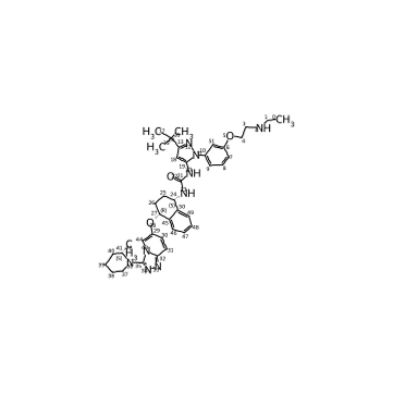 CCNCCOc1cccc(-n2nc(C(C)(C)C)cc2NC(=O)N[C@H]2CC[C@@H](Oc3ccc4nnc(N5CCCC[C@@H]5C)n4c3)c3ccccc32)c1